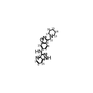 c1cnc2c(Nc3ccc4c(CN5CCCCC5)noc4c3)n[nH]c2c1